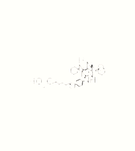 O=C(O)CCCCCCOc1ccc(Nc2nc(NC3CCCCC3)c3ncn(C4CCCCO4)c3n2)cc1